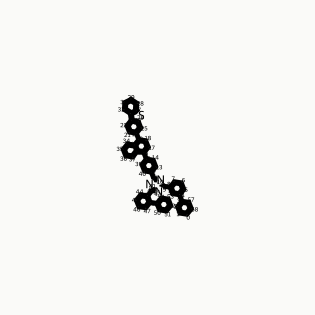 c1ccc(-c2cccc(-c3nc(-c4ccc(-c5ccc(-c6ccc7c(c6)sc6ccccc67)c6ccccc56)cc4)nc(-c4ccccc4-c4ccccc4)n3)c2)cc1